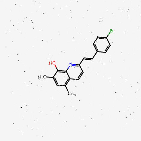 Cc1cc(C)c2ccc(C=Cc3ccc(Br)cc3)nc2c1O